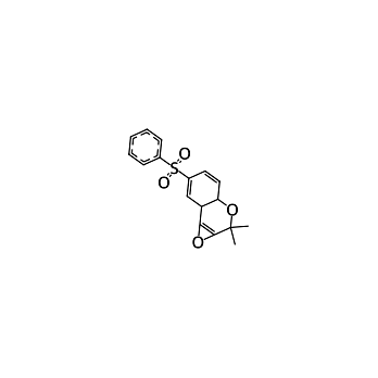 CC1(C)OC2C=CC(S(=O)(=O)c3ccccc3)=CC2C2=C1O2